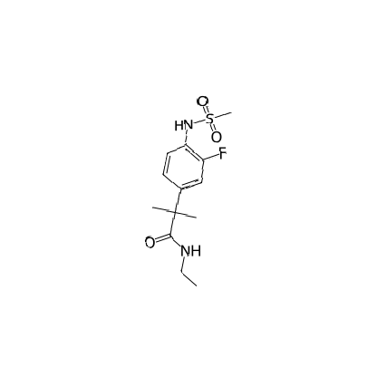 CCNC(=O)C(C)(C)c1ccc(NS(C)(=O)=O)c(F)c1